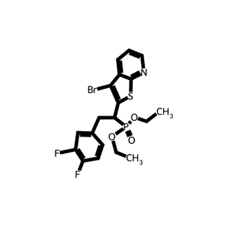 CCOP(=O)(OCC)C(Cc1ccc(F)c(F)c1)c1sc2ncccc2c1Br